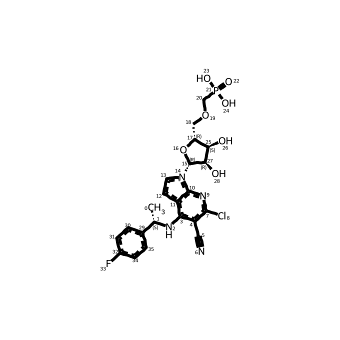 C[C@H](Nc1c(C#N)c(Cl)nc2c1ccn2[C@@H]1O[C@H](COCP(=O)(O)O)[C@@H](O)[C@H]1O)c1ccc(F)cc1